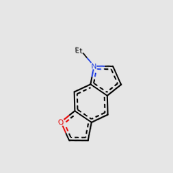 CCn1ccc2cc3ccoc3cc21